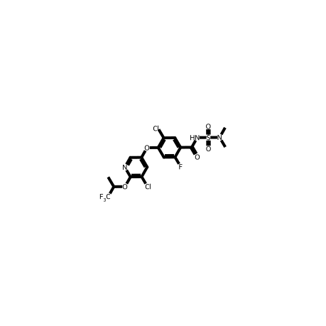 CC(Oc1ncc(Oc2cc(F)c(C(=O)NS(=O)(=O)N(C)C)cc2Cl)cc1Cl)C(F)(F)F